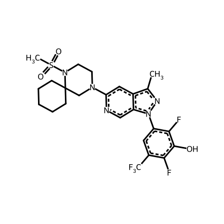 Cc1nn(-c2cc(C(F)(F)F)c(F)c(O)c2F)c2cnc(N3CCN(S(C)(=O)=O)C4(CCCCC4)C3)cc12